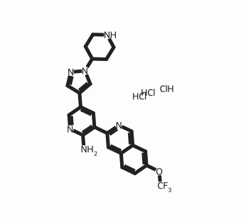 Cl.Cl.Cl.Nc1ncc(-c2cnn(C3CCNCC3)c2)cc1-c1cc2ccc(OC(F)(F)F)cc2cn1